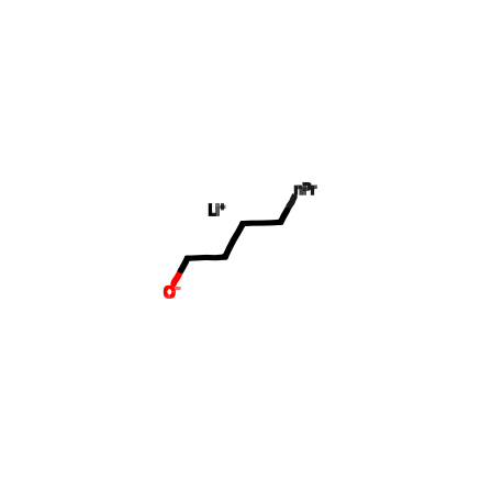 CCCCCCC[O-].[Li+]